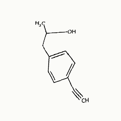 C#Cc1ccc(CC(C)O)cc1